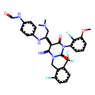 COc1cccc(N2C(=O)/C(=C(\CN(C)C)Nc3ccc(NC=O)cc3)C(=N)N(Cc3c(F)cccc3C(F)(F)F)C2=O)c1F